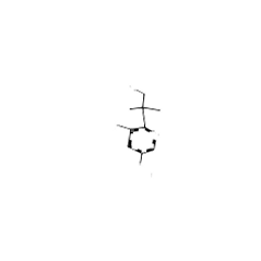 CC(C)(CN)c1ncc(C(F)(F)F)cc1Cl.Cl